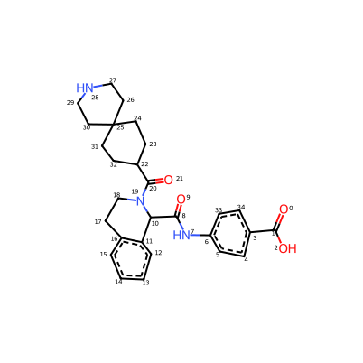 O=C(O)c1ccc(NC(=O)C2c3ccccc3CCN2C(=O)C2CCC3(CCNCC3)CC2)cc1